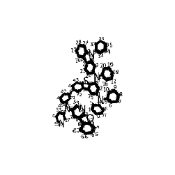 c1ccc(N(c2ccccc2)c2cc(N(c3ccccc3)c3ccc4c5ccccc5n(-c5ccccc5)c4c3)c3sc4ccc(-c5cccc(N(c6cccnc6)c6cnc7oc8ccccc8c7c6)c5)cc4c3c2)cc1